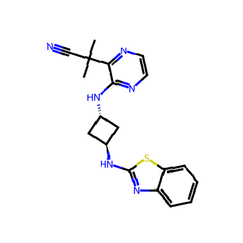 CC(C)(C#N)c1nccnc1N[C@H]1C[C@H](Nc2nc3ccccc3s2)C1